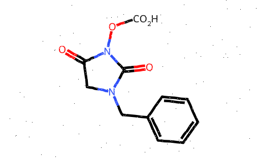 O=C(O)ON1C(=O)CN(Cc2ccccc2)C1=O